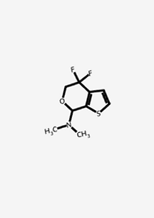 CN(C)C1OCC(F)(F)c2ccsc21